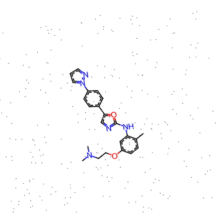 Cc1ccc(OCCN(C)C)cc1Nc1ncc(-c2ccc(-n3cccn3)cc2)o1